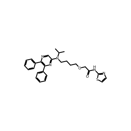 CC(C)N(CCCCOCC(=O)Nc1nccs1)c1cnc(-c2ccccc2)c(-c2ccccc2)n1